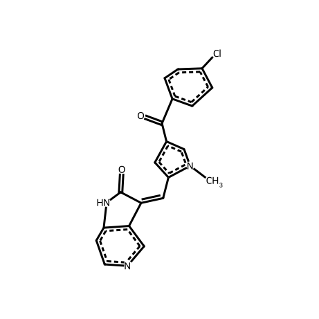 Cn1cc(C(=O)c2ccc(Cl)cc2)cc1C=C1C(=O)Nc2ccncc21